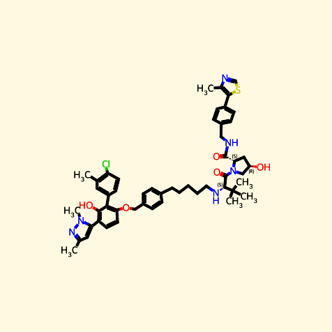 Cc1cc(-c2ccc(OCc3ccc(CCCCCN[C@H](C(=O)N4C[C@H](O)C[C@H]4C(=O)NCc4ccc(-c5scnc5C)cc4)C(C)(C)C)cc3)c(-c3ccc(Cl)c(C)c3)c2O)n(C)n1